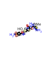 CON=C(C(=O)NC1C(=O)N2C(C(=O)O)=C(CSc3nnc(-c4ccc(S(N)(=O)=O)cc4)o3)CS[C@@H]12)c1csc(N)n1